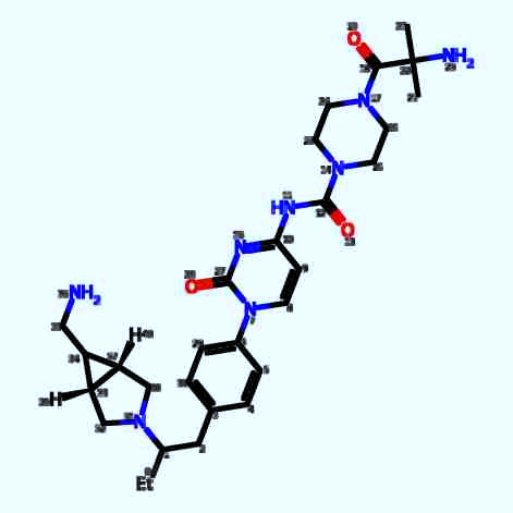 CCC(Cc1ccc(-n2ccc(NC(=O)N3CCN(C(=O)C(C)(C)N)CC3)nc2=O)cc1)N1C[C@@H]2C(CN)[C@@H]2C1